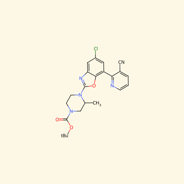 CC1CN(C(=O)OC(C)(C)C)CCN1c1nc2cc(Cl)cc(-c3ncccc3C#N)c2o1